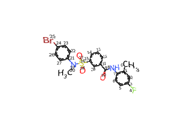 Cc1cc(F)ccc1NC(=O)c1cccc(S(=O)(=O)N(C)c2ccc(Br)cc2)c1